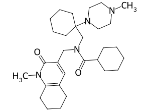 CN1CCN(C2(CN(Cc3cc4c(n(C)c3=O)CCCC4)C(=O)C3CCCCC3)CCCCC2)CC1